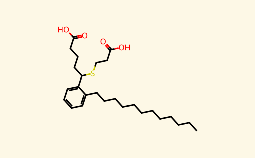 CCCCCCCCCCCCc1ccccc1C(CCCC(=O)O)SCCC(=O)O